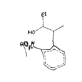 CC(=O)O.CCC(O)C(C)c1ccccc1C(=O)O